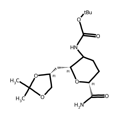 CC(C)(C)OC(=O)NC1CC[C@H](C(N)=O)O[C@@H]1C[C@@H]1COC(C)(C)O1